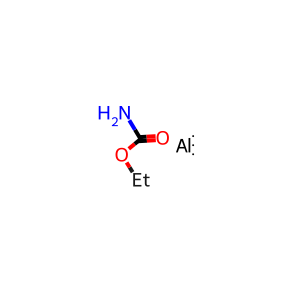 CCOC(N)=O.[Al]